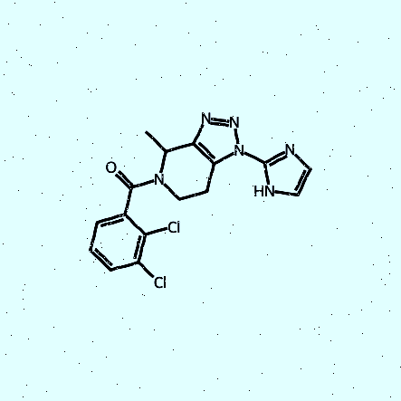 CC1c2nnn(-c3ncc[nH]3)c2CCN1C(=O)c1cccc(Cl)c1Cl